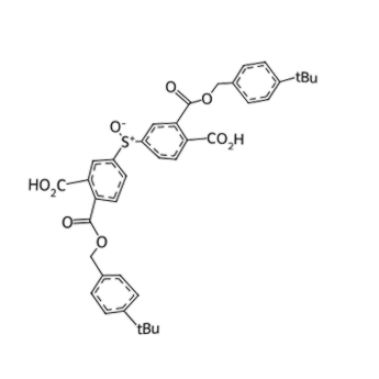 CC(C)(C)c1ccc(COC(=O)c2ccc([S+]([O-])c3ccc(C(=O)O)c(C(=O)OCc4ccc(C(C)(C)C)cc4)c3)cc2C(=O)O)cc1